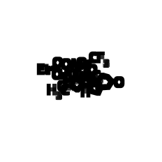 CCC(=O)OCC(=O)[C@@]1(OCOC)[C@@H](C)C[C@H]2[C@@H]3CCC4=CC(=O)C=C[C@]4(C)[C@@]3(F)[C@@H](OC(=O)C(F)(F)F)C[C@@]21C